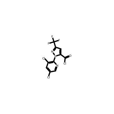 O=C(Cl)c1cc(C(F)(F)F)nn1-c1ncc(Cl)cc1Cl